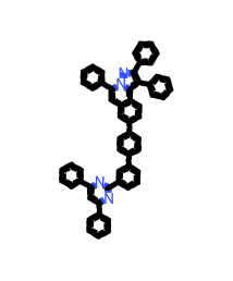 c1ccc(-c2cc(-c3ccccc3)nc(-c3cccc(-c4ccc(-c5ccc6c(c5)cc(-c5ccccc5)n5nc(-c7ccccc7)c(-c7ccccc7)c65)cc4)c3)n2)cc1